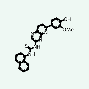 COc1cc(-c2ccc3ncc(NC(=S)Nc4cccc5ccccc45)nc3n2)ccc1O